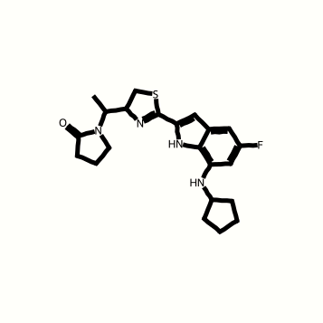 CC(C1CSC(c2cc3cc(F)cc(NC4CCCC4)c3[nH]2)=N1)N1CCCC1=O